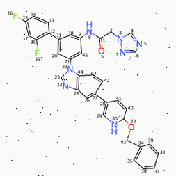 O=C(Cn1cncn1)Nc1cc(-c2ccc(F)cc2F)cc(-n2cnc3cc(C4=CNC(OCc5ccccc5)C=C4)ccc32)c1